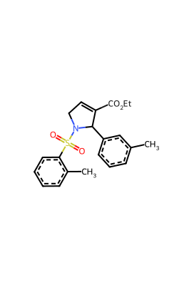 CCOC(=O)C1=CCN(S(=O)(=O)c2ccccc2C)C1c1cccc(C)c1